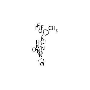 Cc1ccc(CN2CCC(C3=NC4=CN(C5CCOCC5)CN4C(=O)N3)C2)c(OC(F)(F)F)c1